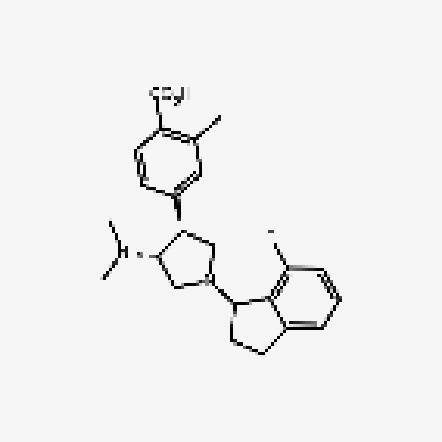 Cc1cc([C@H]2CN(C3CCc4cccc(F)c43)C[C@@H]2N(C)C)ccc1C(=O)O